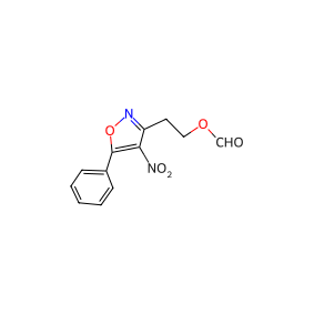 O=COCCc1noc(-c2ccccc2)c1[N+](=O)[O-]